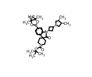 C[C@@H]1CN([C@H]2C[C@@H](N3C(=O)C4(CCN(C(=O)OC(C)(C)C)CC4)c4ccc(B5OC(C)(C)C(C)(C)O5)cc43)C2)C[C@@H]1C